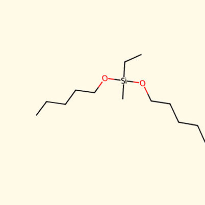 CCCCCO[Si](C)(CC)OCCCCC